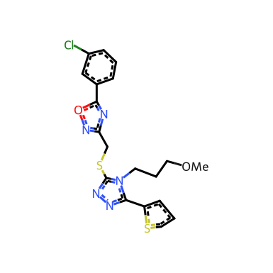 COCCCn1c(SCc2noc(-c3cccc(Cl)c3)n2)nnc1-c1cccs1